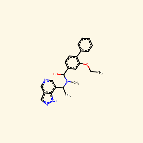 CCOc1cc(C(O)N(C)C(C)c2cncc3cn[nH]c23)ccc1-c1ccccc1